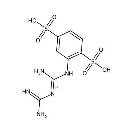 N=C(N)/N=C(\N)Nc1cc(S(=O)(=O)O)ccc1S(=O)(=O)O